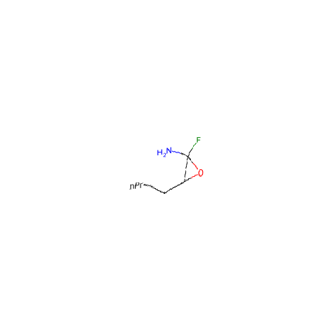 CCCCC1OC1(N)F